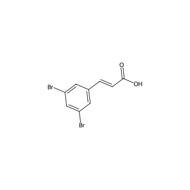 O=C(O)/C=C/c1cc(Br)cc(Br)c1